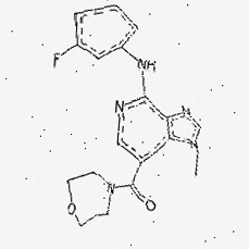 Cn1cnc2c(Nc3cccc(F)c3)ncc(C(=O)N3CCOCC3)c21